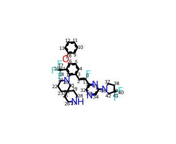 F/C(=C\c1ccc(Oc2ccccc2)c(C(F)(F)F)c1N1CCCC2(CCNCC2)C1)c1cncc(N2CCC(F)(F)C2)n1